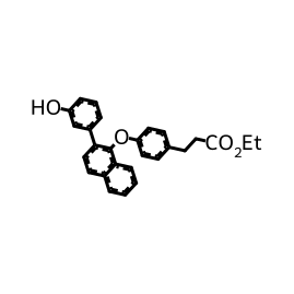 CCOC(=O)CCc1ccc(Oc2c(-c3cccc(O)c3)ccc3ccccc23)cc1